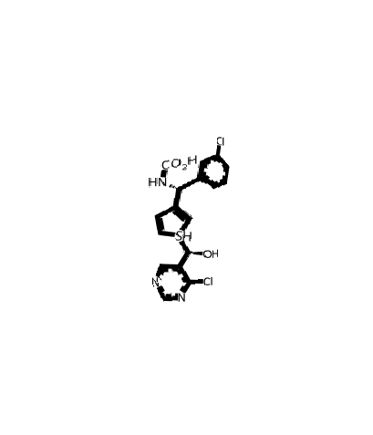 O=C(O)N[C@@H](C1=C[SH]([C@@H](O)c2cncnc2Cl)C=C1)c1cccc(Cl)c1